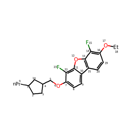 CCCC1CCC(COc2ccc3c(oc4c(F)c(OCC)ccc43)c2F)C1